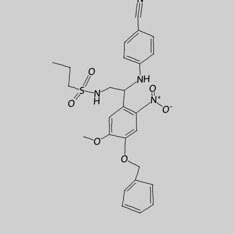 CCCS(=O)(=O)NCC(Nc1ccc(C#N)cc1)c1cc(OC)c(OCc2ccccc2)cc1[N+](=O)[O-]